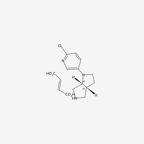 Clc1ccc(N2CC[C@@H]3CNC[C@@H]32)cn1.O=C(O)C=CC(=O)O